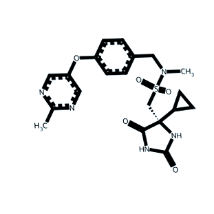 Cc1ncc(Oc2ccc(CN(C)S(=O)(=O)C[C@]3(C4CC4)NC(=O)NC3=O)cc2)cn1